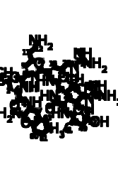 CSCC[C@H](NC(=O)[C@H](CCCCN)NC(=O)[C@H](CCCNC(=N)N)NC(=O)[C@H](CC(C)C)NC(=O)[C@H](CCCNC(=N)N)NC(=O)[C@@H](C)CC(=O)O)C(=O)NC(Cc1ccccc1)C(N)=O